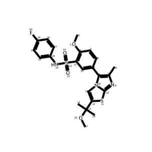 COc1ccc(-c2c(C)nc3sc(C(C)(C)OC)cn23)cc1S(=O)(=O)Nc1ccc(F)cc1